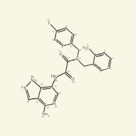 Cc1ccccc1CN(Cc1ccc(F)cc1)C(=O)C(=O)Nc1cnc(N)c2cn[nH]c12